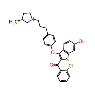 C[C@H]1CCN(CCCc2ccc(Oc3c(C(=O)c4ccccc4Cl)sc4cc(O)ccc34)cc2)C1